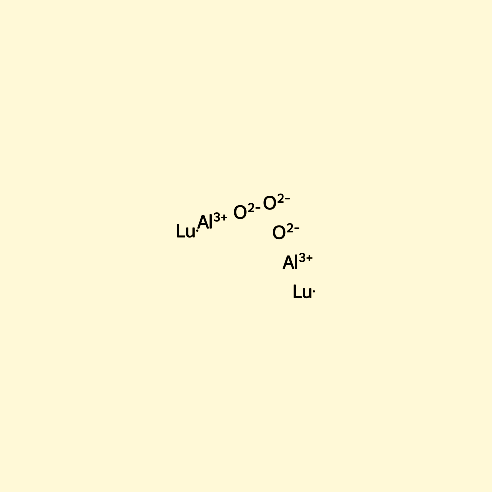 [Al+3].[Al+3].[Lu].[Lu].[O-2].[O-2].[O-2]